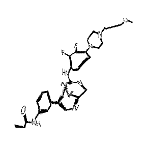 C=CC(=O)Nc1cccc(-c2cnc3cnc(Nc4ccc(N5CCN(CCOC)CC5)c(F)c4F)nn23)c1